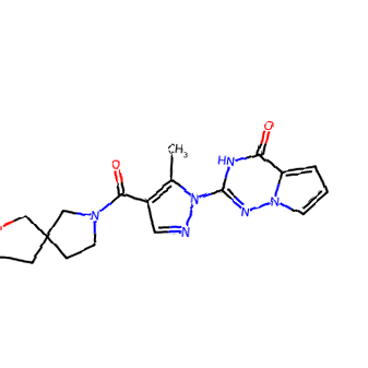 Cc1c(C(=O)N2CCC3(CCOC3)C2)cnn1-c1nn2cccc2c(=O)[nH]1